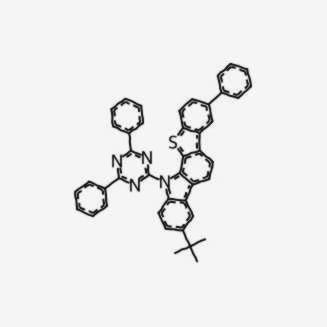 CC(C)(C)c1ccc2c(c1)c1ccc3c4cc(-c5ccccc5)ccc4sc3c1n2-c1nc(-c2ccccc2)nc(-c2ccccc2)n1